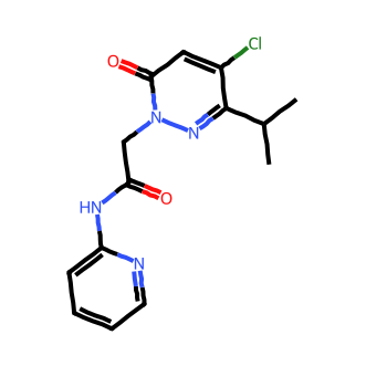 CC(C)c1nn(CC(=O)Nc2ccccn2)c(=O)cc1Cl